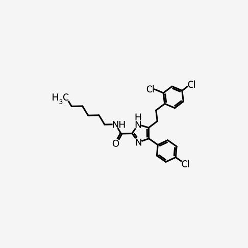 CCCCCCNC(=O)c1nc(-c2ccc(Cl)cc2)c(CCc2ccc(Cl)cc2Cl)[nH]1